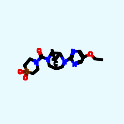 CCOc1cnc(N2CC3CN(C(=O)N4CCS(=O)(=O)CC4)CC2C(C)(C)C3)nc1